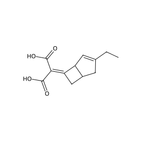 CCC1=CC2C(=C(C(=O)O)C(=O)O)CC2C1